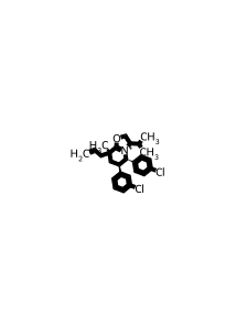 C=CC[C@@]1(C)C[C@H](c2cccc(Cl)c2)[C@@H](c2ccc(Cl)cc2)[N+]2=C1OCC2C(C)C